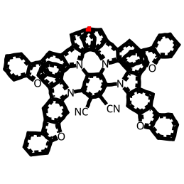 N#Cc1c(C#N)c(-n2c3ccccc3c3cc4c(cc32)oc2ccccc24)c(-n2c3ccccc3c3cc4c(cc32)oc2ccccc24)c(-n2c3ccccc3c3cc4c(cc32)oc2ccccc24)c1-n1c2ccccc2c2cc3c(cc21)oc1ccccc13